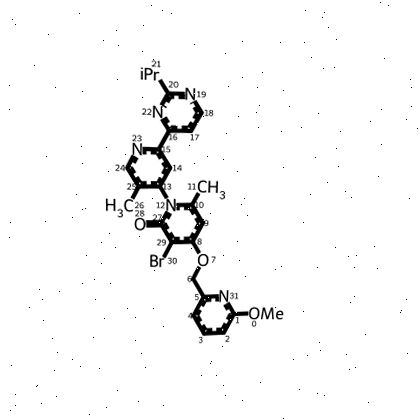 COc1cccc(COc2cc(C)n(-c3cc(-c4ccnc(C(C)C)n4)ncc3C)c(=O)c2Br)n1